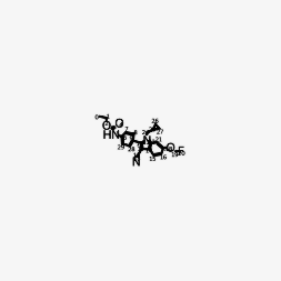 CCOC(=O)Nc1ccc(-c2c(C#N)c3ccc(OCF)cc3n2CC2CC2)cc1